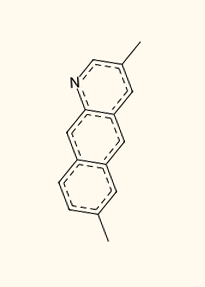 Cc1ccc2cc3ncc(C)cc3cc2c1